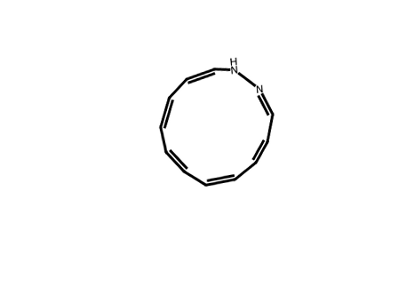 c1cccccn[nH]ccccc1